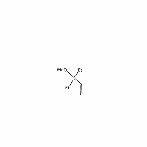 C=C[Si](CC)(CC)OC